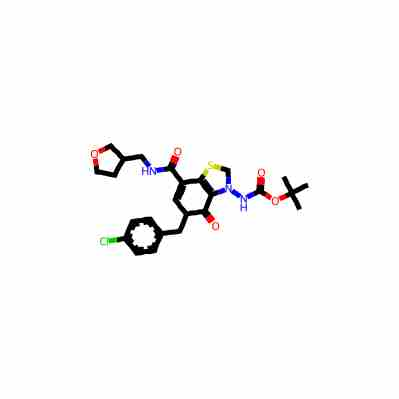 CC(C)(C)OC(=O)NN1CSC2=C1C(=O)C(Cc1ccc(Cl)cc1)C=C2C(=O)NCC1CCOC1